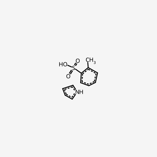 Cc1ccccc1S(=O)(=O)O.c1cc[nH]c1